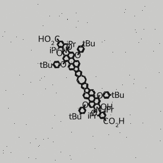 CC(C)c1cc(C(=O)O)cc(C(C)C)c1N1C(=O)c2cc(Oc3ccc(C(C)(C)C)cc3)c3c4ccc5c6c(ccc(c7c(Oc8ccc(C(C)(C)C)cc8)cc(c2c37)C1=O)c64)-c1cc2c(cc1-5)/C=C\c1cc3c(cc1CC2)-c1ccc2c4c(ccc-3c14)-c1c(Oc3ccc(C(C)(C)C)cc3)cc3c4c1[C@@H]2[C@@H](Oc1ccc(C(C)(C)C)cc1)C=C4C(O)N(c1c(C(C)C)cc(C(=O)O)cc1C(C)C)C3=O